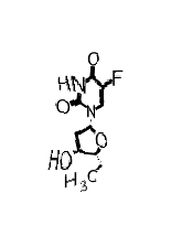 CC[C@H]1O[C@@H](n2cc(F)c(=O)[nH]c2=O)C[C@@H]1O